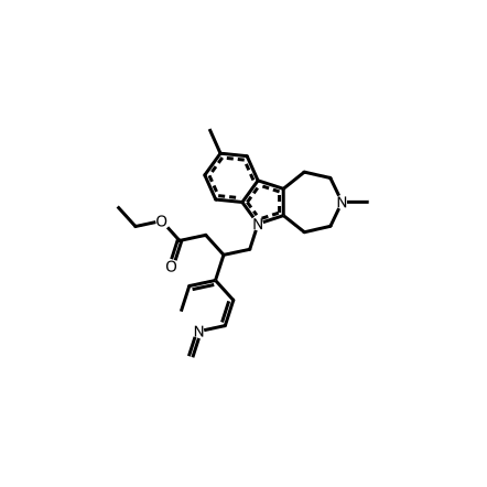 C=N/C=C\C(=C/C)C(CC(=O)OCC)Cn1c2c(c3cc(C)ccc31)CCN(C)CC2